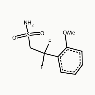 COc1ccccc1C(F)(F)CS(N)(=O)=O